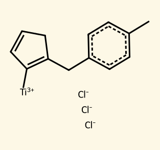 Cc1ccc(CC2=[C]([Ti+3])C=CC2)cc1.[Cl-].[Cl-].[Cl-]